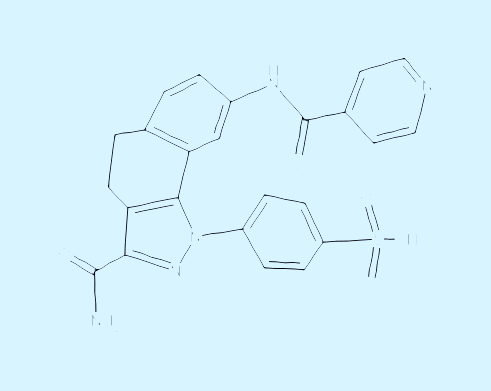 CS(=O)(=O)c1ccc(-n2nc(C(N)=O)c3c2-c2cc(NC(=O)c4ccncc4)ccc2CC3)cc1